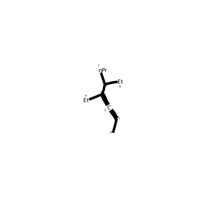 CC=C=C(CC)C(CC)CCC